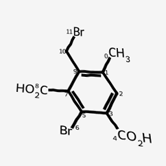 Cc1cc(C(=O)O)c(Br)c(C(=O)O)c1CBr